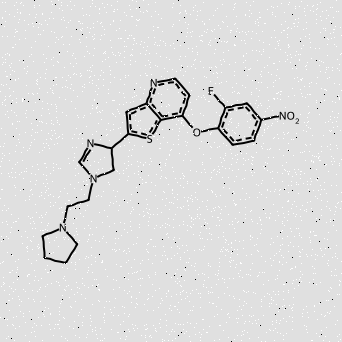 O=[N+]([O-])c1ccc(Oc2ccnc3cc(C4CN(CCN5CCCC5)C=N4)sc23)c(F)c1